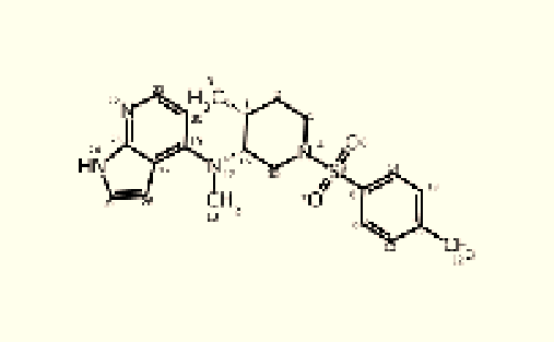 C[C@@H]1CCN(S(=O)(=O)c2ccc(C(F)(F)F)cc2)C[C@@H]1N(C)c1ccnc2[nH]ccc12